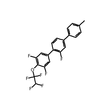 Cc1ccc(-c2ccc(-c3cc(F)c(OC(F)(F)C(F)F)c(F)c3)c(F)c2)cc1